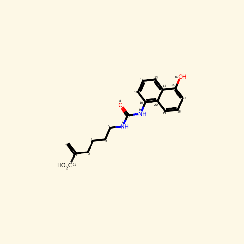 C=C(CCCCNC(=O)Nc1cccc2c(O)cccc12)C(=O)O